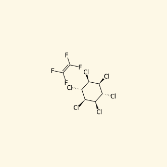 Cl[C@H]1[C@H](Cl)[C@@H](Cl)[C@@H](Cl)[C@H](Cl)[C@H]1Cl.FC(F)=C(F)F